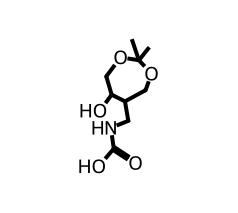 CC1(C)OCC(O)C(CNC(=O)O)CO1